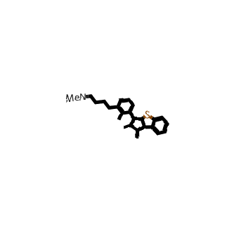 CNCCCCc1cccc(C2C(C)C(C)C3c4ccccc4SC32)c1C